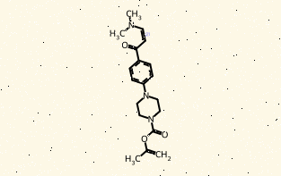 C=C(C)OC(=O)N1CCN(c2ccc(C(=O)/C=C\N(C)C)cc2)CC1